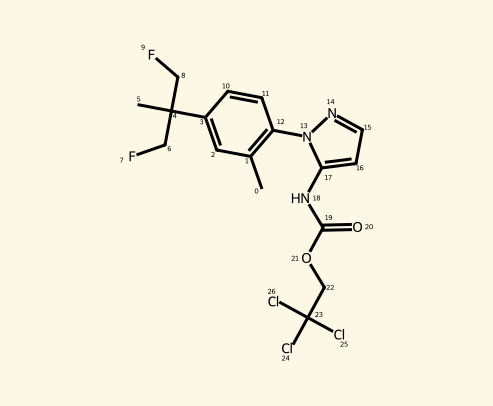 Cc1cc(C(C)(CF)CF)ccc1-n1nccc1NC(=O)OCC(Cl)(Cl)Cl